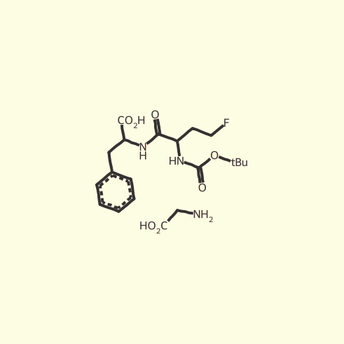 CC(C)(C)OC(=O)NC(CCF)C(=O)NC(Cc1ccccc1)C(=O)O.NCC(=O)O